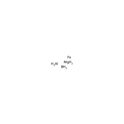 B.[AlH3].[Fe].[MgH2]